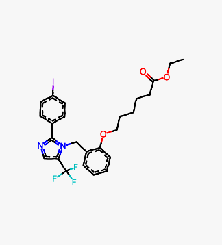 CCOC(=O)CCCCCOc1ccccc1Cn1c(C(F)(F)F)cnc1-c1ccc(I)cc1